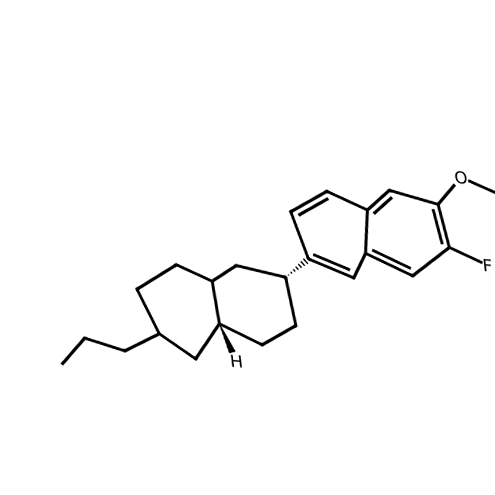 CCCC1CCC2C[C@H](c3ccc4cc(OC)c(F)cc4c3)CC[C@@H]2C1